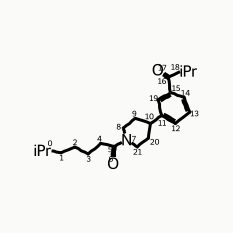 CC(C)CCCCC(=O)N1CCC(c2cccc(C(=O)C(C)C)c2)CC1